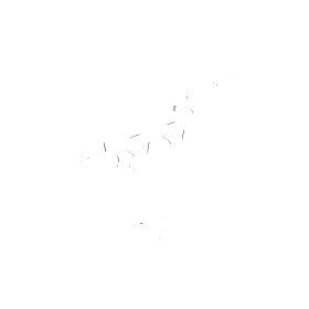 COC(=O)c1nn(COCC[Si](C)(C)C)c2c(F)c(-c3c(F)ccc(NS(=O)(=O)C4CCCN(C)C4)c3F)ccc12